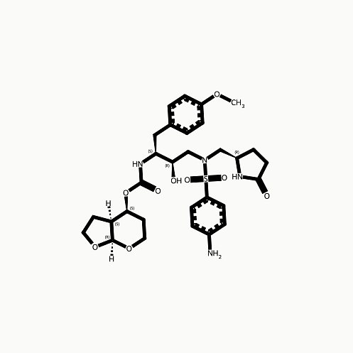 COc1ccc(C[C@H](NC(=O)O[C@H]2CCO[C@H]3OCC[C@H]32)[C@H](O)CN(C[C@H]2CCC(=O)N2)S(=O)(=O)c2ccc(N)cc2)cc1